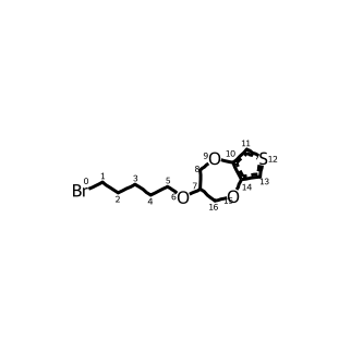 BrCCCCCOC1COc2cscc2OC1